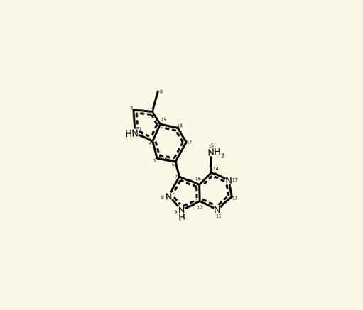 Cc1c[nH]c2cc(-c3n[nH]c4ncnc(N)c34)ccc12